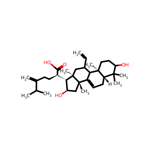 C=CC1C[C@]2(C)[C@@H]([C@@H](CCC(=C)C(C)C)C(=O)O)[C@H](O)C[C@@]2(C)C2=CC[C@H]3C(C)(C)C(O)CC[C@]3(C)C21